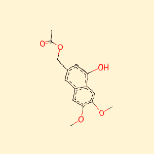 COc1cc2cc(COC(C)=O)cc(O)c2cc1OC